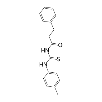 Cc1ccc(NC(=S)NC(=O)CCc2ccccc2)cc1